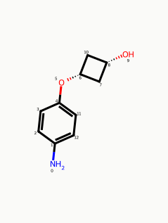 Nc1ccc(O[C@H]2C[C@@H](O)C2)cc1